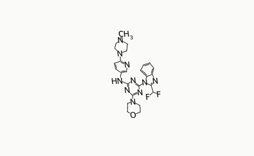 CN1CCN(c2ccc(Nc3nc(N4CCOCC4)nc(-n4c(C(F)F)nc5ccccc54)n3)cn2)CC1